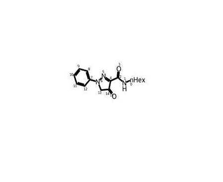 CCCCCCNC(=O)C1=NN(c2ccccc2)CC1=O